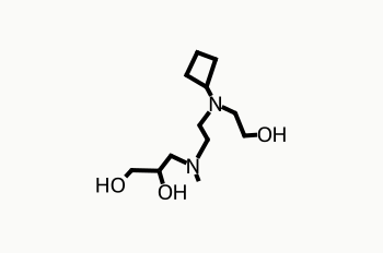 CN(CCN(CCO)C1CCC1)CC(O)CO